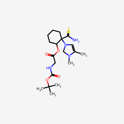 CC1=CN(C2(C(N)=S)CCCCC2OC(=O)CNC(=O)OC(C)(C)C)CN1C